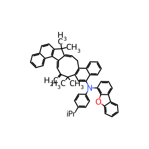 C=C1/C=C2\C(=C/Cc3c(cc(N(c4ccc(C(C)C)cc4)c4cccc5c4oc4ccccc45)c4ccccc34)C1(C)C)C(C)(C)c1ccc3ccccc3c12